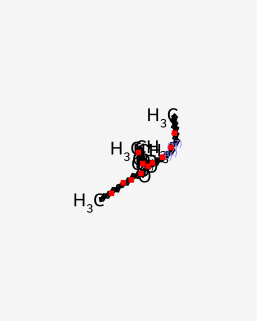 CCCCCCCCC\C=C/C=C\C=C/C=C/C=CC=CC(=O)O[C@H](COC(=O)CCCCCCCCCCCCCCCCC)COP(=O)([O-])OCC[N+](C)(C)C